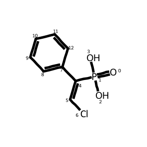 O=P(O)(O)C(=CCl)c1ccccc1